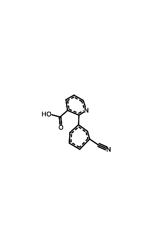 N#Cc1cccc(-c2ncccc2C(=O)O)c1